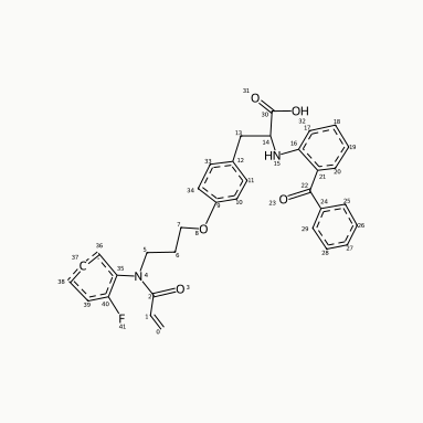 C=CC(=O)N(CCCOc1ccc(CC(Nc2ccccc2C(=O)c2ccccc2)C(=O)O)cc1)c1ccccc1F